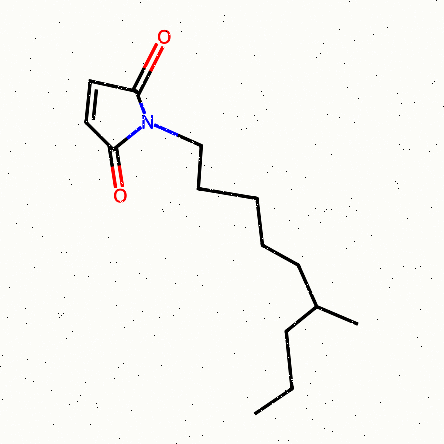 CCCC(C)CCCCCN1C(=O)C=CC1=O